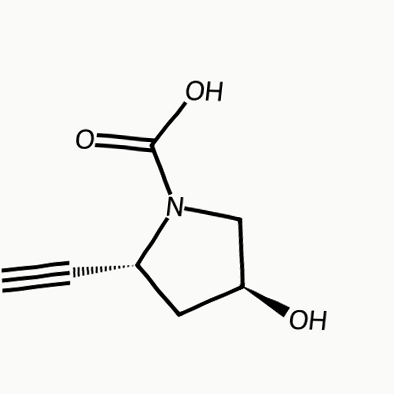 C#C[C@H]1C[C@H](O)CN1C(=O)O